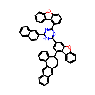 c1ccc2c(c1)-c1cc3ccccc3cc1CCC2c1cc(C2=NC(c3cccc4oc5ccccc5c34)=NC(c3ccc4ccccc4c3)N2)cc2oc3ccccc3c12